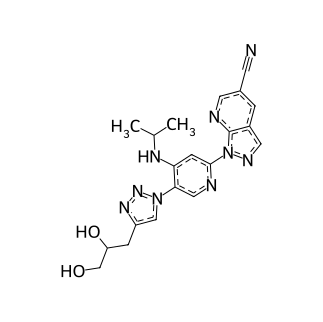 CC(C)Nc1cc(-n2ncc3cc(C#N)cnc32)ncc1-n1cc(CC(O)CO)nn1